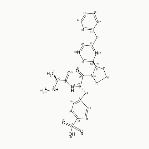 CN[C@@H](C)C(=O)N[C@@H](Cc1ccc(S(=O)(=O)O)cc1)C(=O)N1CCC[C@@H]1c1cncc(Cc2ccccc2)n1